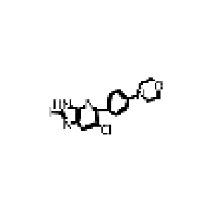 Clc1cc2nc(I)[nH]c2nc1-c1ccc(N2CCOCC2)cc1